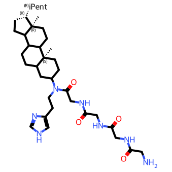 CCC[C@@H](C)[C@H]1CCC2C3CCC4CC(N(CCc5c[nH]cn5)C(=O)CNC(=O)CNC(=O)CNC(=O)CN)CC[C@]4(C)C3CC[C@@]21C